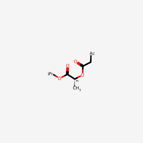 CC(=O)CC(=O)O[C@H](C)C(=O)OC(C)C